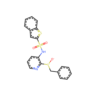 O=S(=O)(Nc1cccnc1[S+]([O-])Cc1ccccc1)c1cc2ccccc2s1